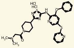 CN(C)CC(=O)N1CCC(c2nsc(Nc3ncc(Sc4ccccn4)cc3Oc3ccccc3)n2)CC1.Cl.Cl